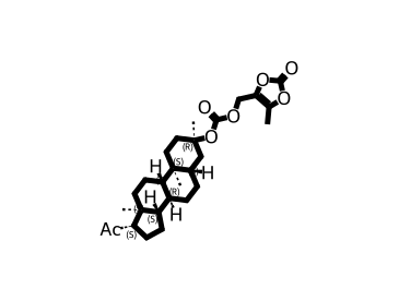 CC(=O)[C@H]1CC[C@H]2[C@@H]3CC[C@H]4C[C@](C)(OC(=O)OCc5oc(=O)oc5C)CC[C@]4(C)[C@H]3CC[C@]12C